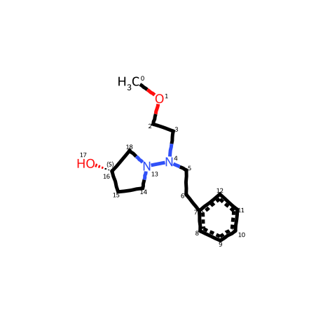 COCCN(CCc1ccccc1)N1CC[C@H](O)C1